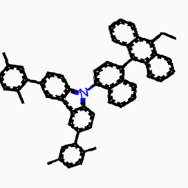 CCc1c2ccccc2c(-c2ccc(-n3c4ccc(-c5cc(C)ccc5C)cc4c4cc(-c5cc(C)ccc5C)ccc43)c3ccccc23)c2ccccc12